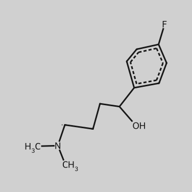 CN(C)[CH]CCC(O)c1ccc(F)cc1